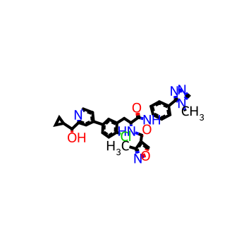 Cc1nocc1C(=O)NC(Cc1cc(-c2ccnc(C(O)C3CC3)c2)ccc1Cl)C(=O)Nc1ccc(-c2nncn2C)cc1